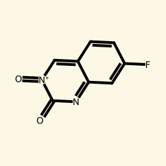 O=C1N=c2cc(F)ccc2=C[N+]1=O